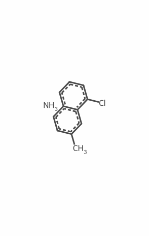 Cc1ccc2cccc(Cl)c2c1.N